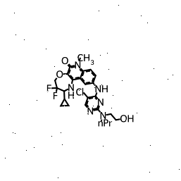 CCCN(CCO)c1ncc(Cl)c(Nc2ccc3c(c2)c2c(c(=O)n3C)OCC(F)(F)C(C3CC3)N2)n1